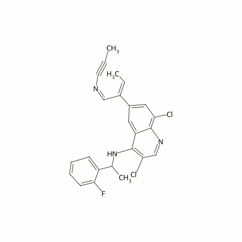 CC#C/N=C\C(=C/C)c1cc(Cl)c2ncc(Cl)c(NC(C)c3ccccc3F)c2c1